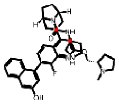 CN1CCC[C@H]1COc1nc(N2C[C@H]3CC[C@@H](C2)N3C(=O)NC2CCNC2)c2ccc(-c3cc(O)cc4ccccc34)c(F)c2n1